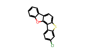 Clc1ccc2c(c1)sc1ccc3c4ccccc4oc3c12